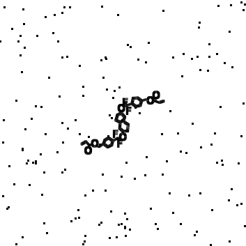 C=CC(=O)OCc1ccc(C(F)(F)Oc2ccc3cc(OC(F)(F)c4ccc(COC(=O)C=C)cc4)ccc3c2)cc1